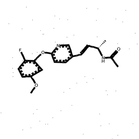 COc1ccc(F)c(Oc2ccc(/C=C/[C@H](C)NC(C)=O)cn2)c1